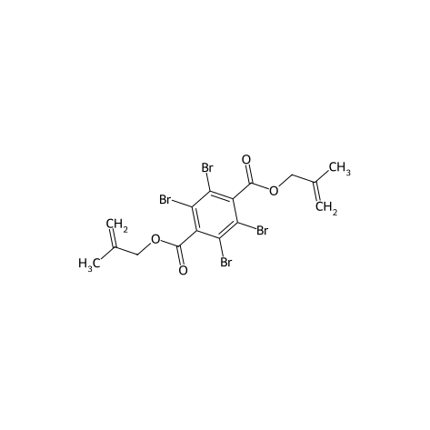 C=C(C)COC(=O)c1c(Br)c(Br)c(C(=O)OCC(=C)C)c(Br)c1Br